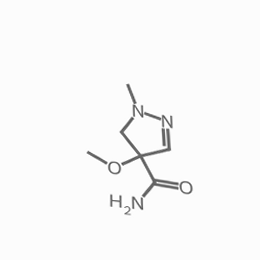 COC1(C(N)=O)C=NN(C)C1